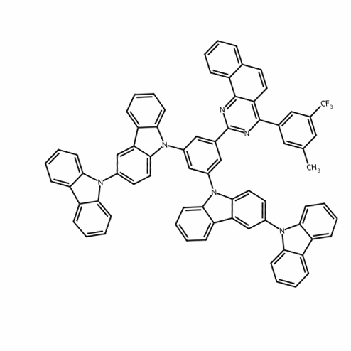 Cc1cc(-c2nc(-c3cc(-n4c5ccccc5c5cc(-n6c7ccccc7c7ccccc76)ccc54)cc(-n4c5ccccc5c5cc(-n6c7ccccc7c7ccccc76)ccc54)c3)nc3c2ccc2ccccc23)cc(C(F)(F)F)c1